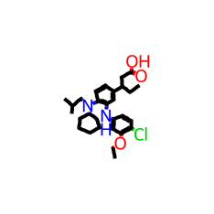 CCOc1cc(Nc2cc(C(CC)CC(=O)O)ccc2N(CC(C)C)C2CCCCC2)ccc1Cl